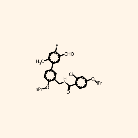 CCCOc1ccc(-c2cc(C=O)c(F)cc2C)cc1CNC(=O)c1ccc(OC(C)C)cc1Cl